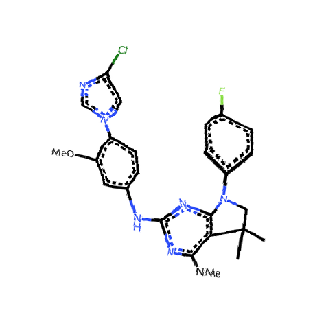 CNc1nc(Nc2ccc(-n3cnc(Cl)c3)c(OC)c2)nc2c1C(C)(C)CN2c1ccc(F)cc1